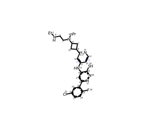 CCCN(CCNCC)C1CC(C/C=C(\C=C/N)Nc2cc(-c3cc(Cl)ccc3F)nnc2S)C1